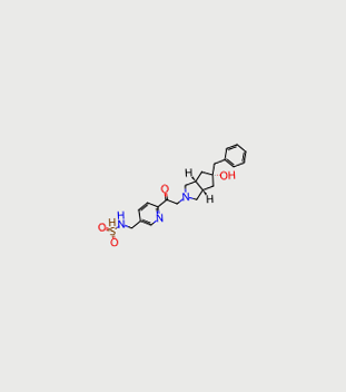 O=C(CN1C[C@@H]2C[C@@](O)(Cc3ccccc3)C[C@@H]2C1)c1ccc(CN[SH](=O)=O)cn1